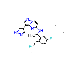 CC(Nc1ccn2ncc(C3C=NNC3)c2n1)c1cc(F)ccc1CCF